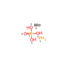 O=P(O)(O)O.P.[Mo]